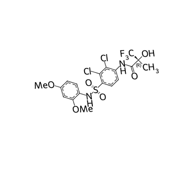 COc1ccc(NS(=O)(=O)c2ccc(NC(=O)[C@@](C)(O)C(F)(F)F)c(Cl)c2Cl)c(OC)c1